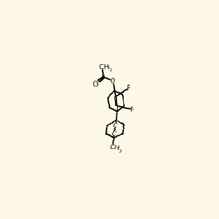 CC(=O)OC12CCC(C34CCC(C)(CC3)CC4)(CC1)C(F)=C2F